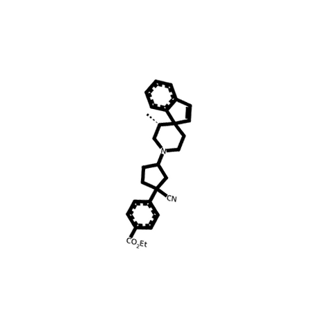 CCOC(=O)c1ccc(C2(C#N)CCC(N3CCC4(C=Cc5ccccc54)[C@@H](C)C3)C2)cc1